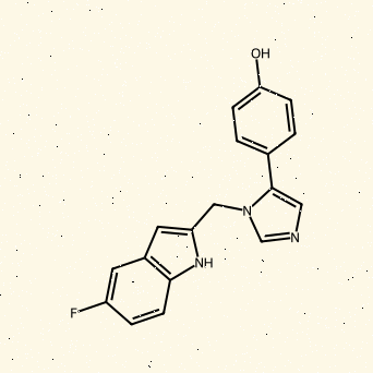 Oc1ccc(-c2cncn2Cc2cc3cc(F)ccc3[nH]2)cc1